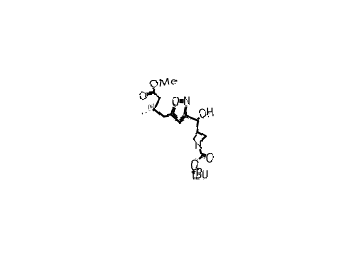 COC(=O)C[C@@H](C)Cc1cc(C(O)C2CN(C(=O)OC(C)(C)C)C2)no1